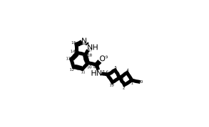 CC1CC2(C1)CC(NC(=O)c1cccc3cn[nH]c13)C2